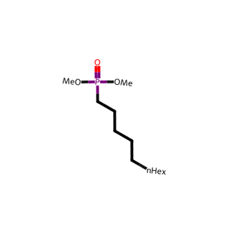 CCCCCCCCCCCP(=O)(OC)OC